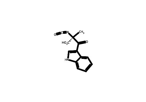 C[C@@](N=C=O)(C(=O)O)C(=O)c1c[nH]c2ccccc12